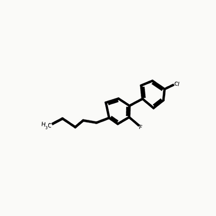 CCCCCc1ccc(-c2ccc(Cl)cc2)c(F)c1